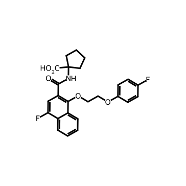 O=C(NC1(C(=O)O)CCCC1)c1cc(F)c2ccccc2c1OCCOc1ccc(F)cc1